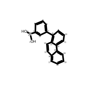 OB(O)c1cccc(-c2cccc3c2ccc2ccccc23)c1